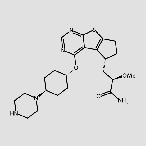 CO[C@H](C[C@H]1CCc2sc3ncnc(O[C@H]4CC[C@H](N5CCNCC5)CC4)c3c21)C(N)=O